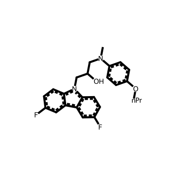 CCCOc1ccc(N(C)CC(O)Cn2c3ccc(F)cc3c3cc(F)ccc32)cc1